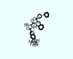 CC(C)(C)[C@H](NC(=O)c1cc2cc(C(F)(F)P(=O)(O)O)ccc2s1)C(=O)N1Cc2ccccc2CC1C(=O)N1CC[C@H](c2ccccc2)C1